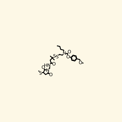 CCCCN(CCSSC(C)(C)CC(=O)NCN1C(=O)CC(SC)C1=O)C(=O)Oc1ccc(COC)cc1